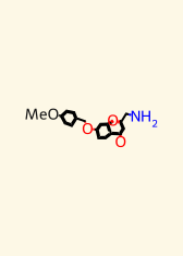 COc1ccc(COc2ccc3c(=O)cc(CN)oc3c2)cc1